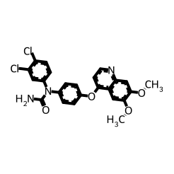 COc1cc2nccc(Oc3ccc(N(C(N)=O)c4ccc(Cl)c(Cl)c4)cc3)c2cc1OC